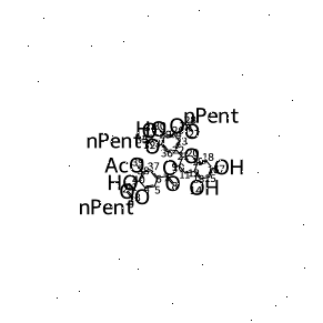 CCCCCC(=O)Oc1cc(C(=O)OC2Cc3c(O)cc(O)cc3OC2c2cc(OC(=O)CCCCC)c(O)c(OC(=O)CCCCC)c2)cc(OC(C)=O)c1O